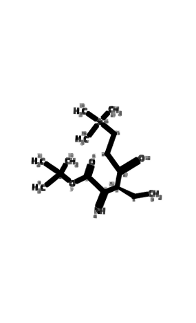 CC[C@@H](C(=N)C(=O)OC(C)(C)C)C(=O)CC[Si](C)(C)C